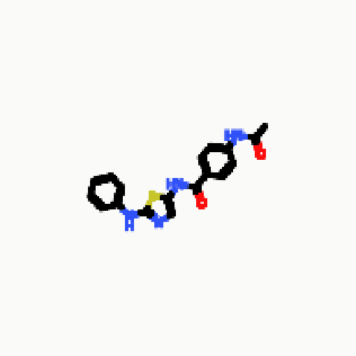 CC(=O)Nc1ccc(C(=O)Nc2cnc(Nc3ccccc3)s2)cc1